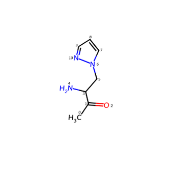 CC(=O)C(N)Cn1cccn1